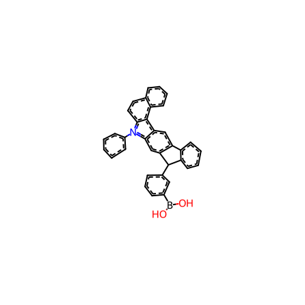 OB(O)c1cccc(C2c3ccccc3-c3cc4c5c6ccccc6ccc5n(-c5ccccc5)c4cc32)c1